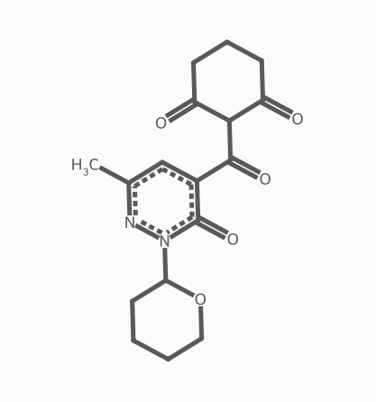 Cc1cc(C(=O)C2C(=O)CCCC2=O)c(=O)n(C2CCCCO2)n1